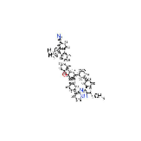 CCC/C=C(/N=c1\[nH]cccc1-c1ccccc1)c1cccc(-c2cccc(-c3ccc4oc5ccc(-c6ccc7c(c6)C(C)(C)c6cc(C#N)ccc6-7)cc5c4c3)c2)c1